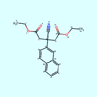 CCOC(=O)CC(C#N)(CC(=O)OCC)c1ccc2ccccc2c1